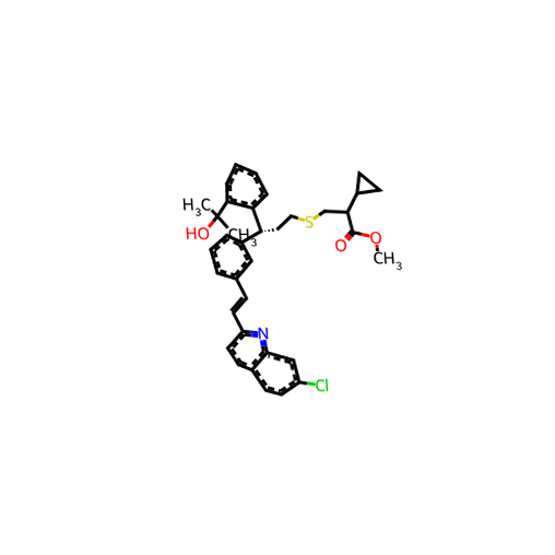 COC(=O)C(CSCC[C@H](c1cccc(C=Cc2ccc3ccc(Cl)cc3n2)c1)c1ccccc1C(C)(C)O)C1CC1